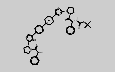 C[C@@H](C(=O)N1CCC[C@H]1c1ncc(-c2ccc(C34CCC(c5cnc([C@@H]6CCCN6C(=O)[C@H](NC(=O)OC(C)(C)C)c6ccccc6)o5)(CC3)CC4)cc2)[nH]1)c1ccccc1